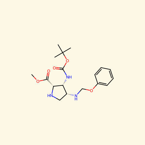 COC(=O)[C@H]1NC[C@@H](NCOc2ccccc2)[C@H]1NC(=O)OC(C)(C)C